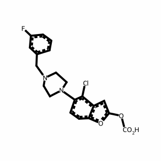 O=C(O)Oc1cc2c(Cl)c(N3CCN(Cc4cccc(F)c4)CC3)ccc2o1